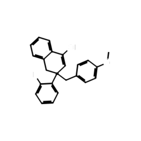 COc1ccc(CC2(c3ccccc3F)C=C(O)c3ccccc3C2)cc1